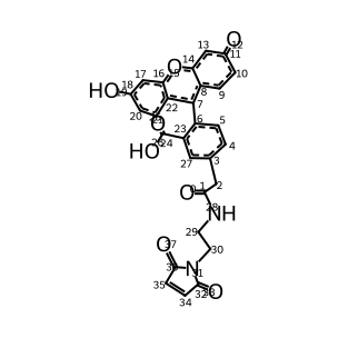 O=C(Cc1ccc(-c2c3ccc(=O)cc-3oc3cc(O)ccc23)c(C(=O)O)c1)NCCN1C(=O)C=CC1=O